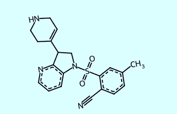 Cc1ccc(C#N)c(S(=O)(=O)N2CC(C3=CCNCC3)c3ncccc32)c1